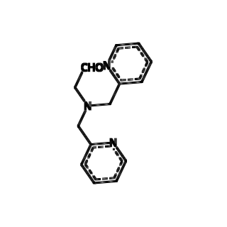 O=CCN(Cc1ccccn1)Cc1ccccn1